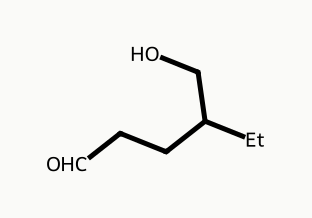 CCC(CO)CCC=O